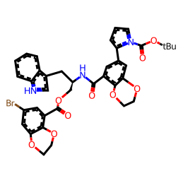 CC(C)(C)OC(=O)n1cccc1-c1cc2c(c(C(=O)N[C@@H](COC(=O)c3cc(Br)cc4c3OCCO4)Cc3c[nH]c4ccccc34)c1)OCCO2